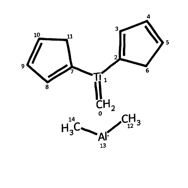 [CH2]=[Ti]([C]1=CC=CC1)[C]1=CC=CC1.[CH3][Al][CH3]